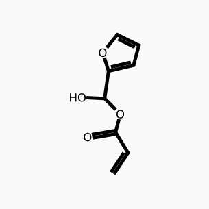 C=CC(=O)OC(O)c1ccco1